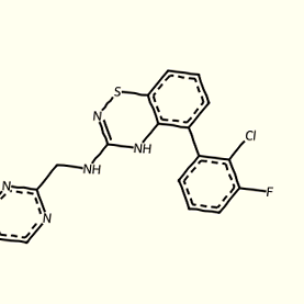 Fc1cccc(-c2cccc3c2NC(NCc2ncccn2)=NS3)c1Cl